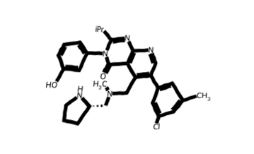 Cc1cc(Cl)cc(-c2cnc3nc(C(C)C)n(-c4cccc(O)c4)c(=O)c3c2CN(C)C[C@@H]2CCCN2)c1